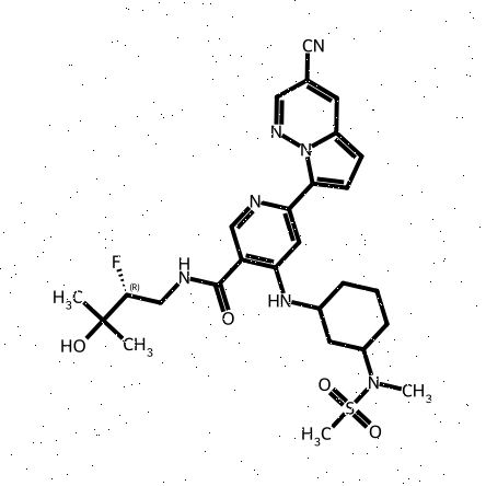 CN(C1CCCC(Nc2cc(-c3ccc4cc(C#N)cnn34)ncc2C(=O)NC[C@@H](F)C(C)(C)O)C1)S(C)(=O)=O